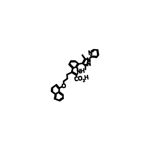 Cc1nn(-c2ccccn2)c(C)c1-c1cccc2c(CCCOc3cccc4ccccc34)c(C(=O)O)[nH]c12